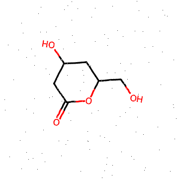 O=C1CC(O)CC(CO)O1